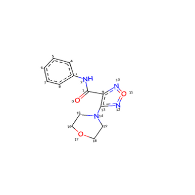 O=C(Nc1ccccc1)c1nonc1N1CCOCC1